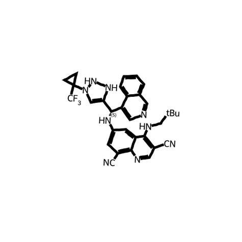 CC(C)(C)CNc1c(C#N)cnc2c(C#N)cc(N[C@H](C3=CN(C4(C(F)(F)F)CC4)NN3)c3cncc4ccccc34)cc12